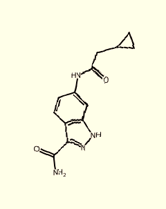 NC(=O)c1n[nH]c2cc(NC(=O)CC3CC3)ccc12